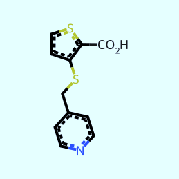 O=C(O)c1sccc1SCc1ccncc1